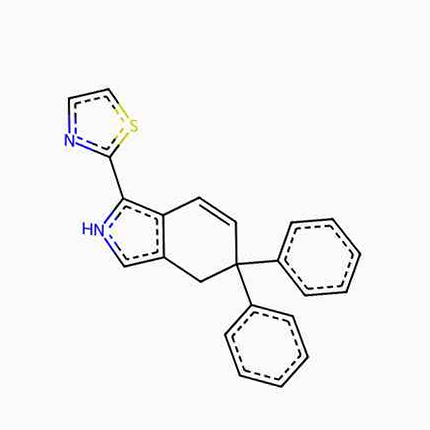 C1=CC(c2ccccc2)(c2ccccc2)Cc2c[nH]c(-c3nccs3)c21